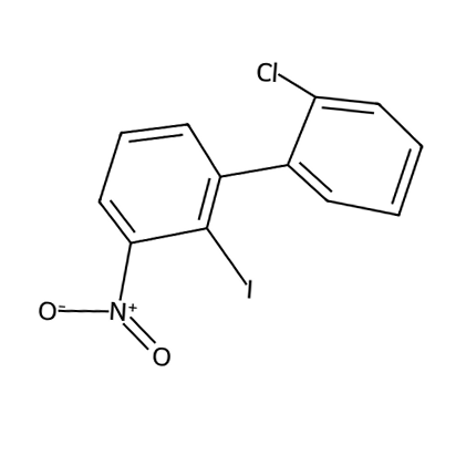 O=[N+]([O-])c1cccc(-c2ccccc2Cl)c1I